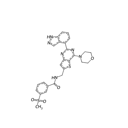 CS(=O)(=O)c1cccc(C(=O)NCc2cc3nc(-c4cccc5[nH]ncc45)nc(N4CCOCC4)c3s2)c1